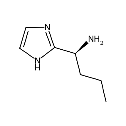 CCC[C@H](N)c1ncc[nH]1